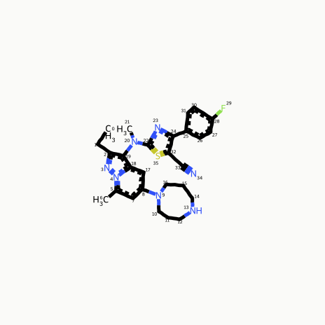 CCc1nn2c(C)cc(N3CCCNCCC3)cc2c1N(C)c1nc(-c2ccc(F)cc2)c(C#N)s1